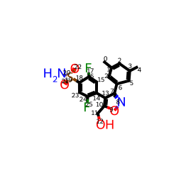 Cc1cc(C)cc(-c2noc(CO)c2-c2cc(F)c(S(N)(=O)=O)cc2F)c1